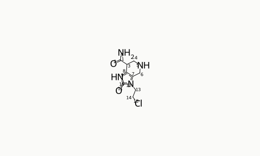 NC(=O)C1CNCc2c1[nH]c(=O)n2CCCl